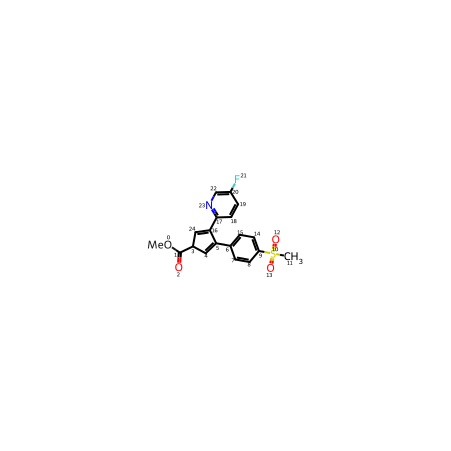 COC(=O)C1C=C(c2ccc(S(C)(=O)=O)cc2)C(c2ccc(F)cn2)=C1